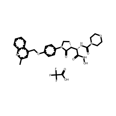 Cc1cc(COc2ccc(N3CC[C@H]([C@H](NC(=O)N4CCOCC4)C(=O)NO)C3=O)cc2)c2ccccc2n1.O=C(O)C(F)(F)F